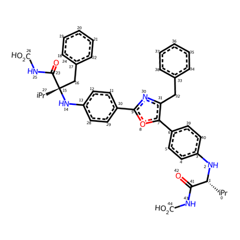 CC(C)[C@@H](Nc1ccc(-c2oc(-c3ccc(N[C@@](Cc4ccccc4)(C(=O)NC(=O)O)C(C)C)cc3)nc2Cc2ccccc2)cc1)C(=O)NC(=O)O